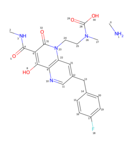 CN.CNC(=O)c1c(O)c2ncc(Cc3ccc(F)cc3)cc2n(CCN(C)C(=O)O)c1=O